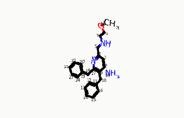 COCCNCc1ccc(Cc2ccccc2)c(Cc2ccccc2)n1.N